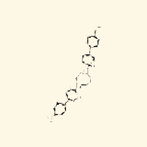 CSc1ccc(-c2ccc(N3CCCN(c4ccc(-c5ccc(SC)cc5)cn4)CC3)nc2)cc1